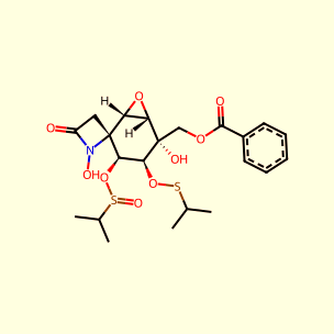 CC(C)SO[C@H]1[C@@H](OS(=O)C(C)C)[C@@]2(CC(=O)N2O)[C@@H]2O[C@@H]2[C@@]1(O)COC(=O)c1ccccc1